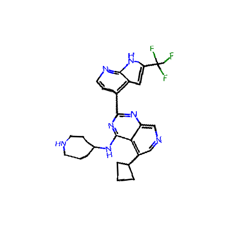 FC(F)(F)c1cc2c(-c3nc(NC4CCNCC4)c4c(C5CCC5)cncc4n3)ccnc2[nH]1